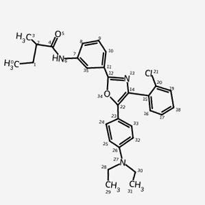 CCC(C)C(=O)Nc1cccc(-c2nc(-c3ccccc3Cl)c(-c3ccc(N(CC)CC)cc3)o2)c1